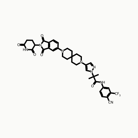 CC(C)(C(=O)Nc1ccc(C#N)c(C(F)(F)F)c1)n1cc(N2CCC3(CCN(c4ccc5c(c4)C(=O)N(C4CCC(=O)NC4=O)C5=O)CC3)CC2)cn1